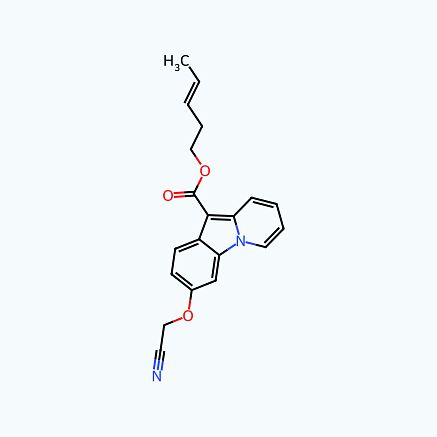 C/C=C/CCOC(=O)c1c2ccc(OCC#N)cc2n2ccccc12